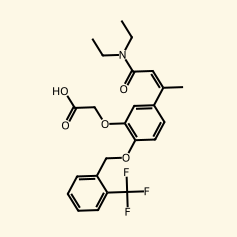 CCN(CC)C(=O)/C=C(/C)c1ccc(OCc2ccccc2C(F)(F)F)c(OCC(=O)O)c1